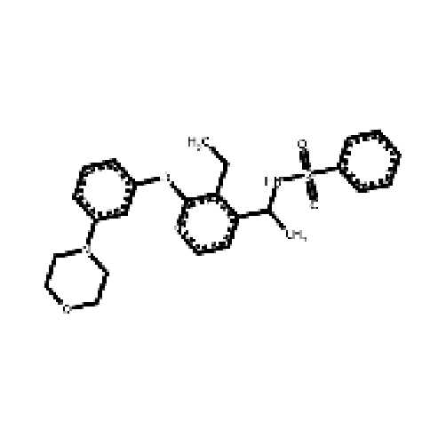 CCc1c(C(C)NS(=O)(=O)c2ccccc2)ccnc1Oc1cccc(N2CCOCC2)c1